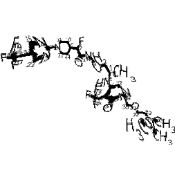 C[C@@H](CONC(=O)C(F)C1CCN(c2ncc(C(F)(F)F)cn2)CC1)Nc1cnn(COCC[Si](C)(C)C)c(=O)c1C(F)(F)F